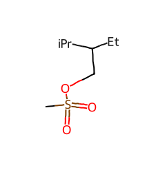 CCC(COS(C)(=O)=O)C(C)C